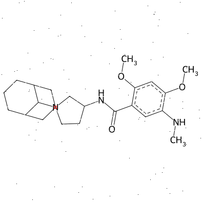 CNc1cc(C(=O)NC2CCN(C3C4CCCC3CCC4)C2)c(OC)cc1OC